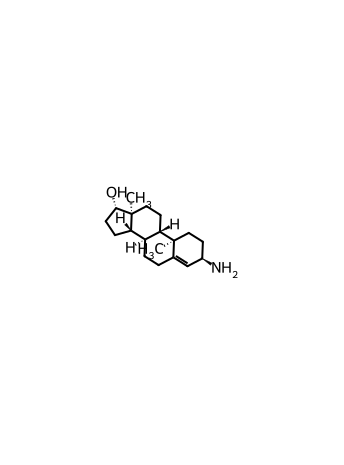 C[C@]12CC[C@H]3[C@@H](CCC4=C[C@H](N)CC[C@@]43C)[C@@H]1CC[C@@H]2O